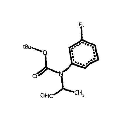 CCc1cccc(N(C(=O)OC(C)(C)C)C(C)C=O)c1